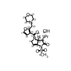 CC(C)[C@H]1C(=O)N(S(C)(=O)=O)C2=CCN(C(=O)c3ccoc3CN3CCOCC3)[C@@H]21.Cl